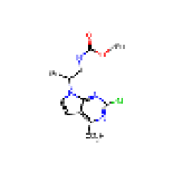 CC(C)C(CNC(=O)OC(C)(C)C)n1ccc2c(C(=O)O)nc(Cl)nc21